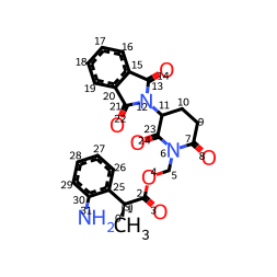 C[C@H](C(=O)OCN1C(=O)CCC(N2C(=O)c3ccccc3C2=O)C1=O)c1ccccc1N